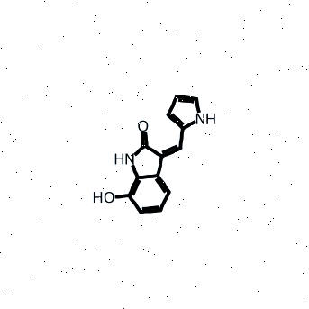 O=C1Nc2c(O)cccc2C1=Cc1ccc[nH]1